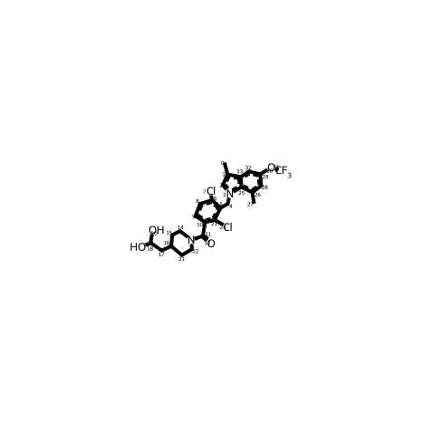 Cc1cn(Cc2c(Cl)ccc(C(=O)N3CCC(CC(O)O)CC3)c2Cl)c2c(C)cc(OC(F)(F)F)cc12